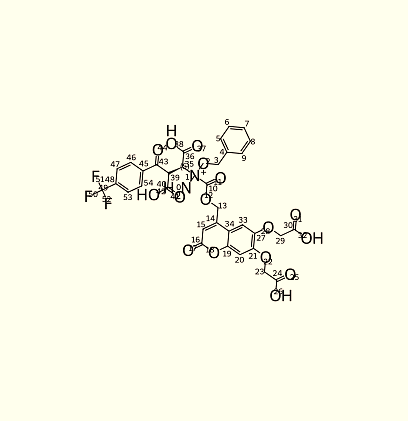 N[N+](OCc1ccccc1)(C(=O)OCc1cc(=O)oc2cc(OCC(=O)O)c(OCC(=O)O)cc12)[C@H](C(=O)O)C(C(=O)O)C(=O)c1ccc(C(F)(F)F)cc1